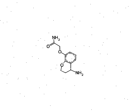 NC(=O)COc1cccc2c1OCCC2N